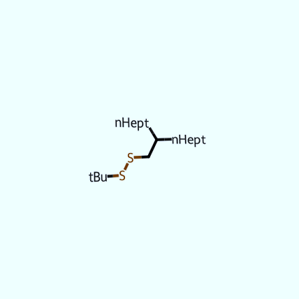 CCCCCCCC(CCCCCCC)CSSC(C)(C)C